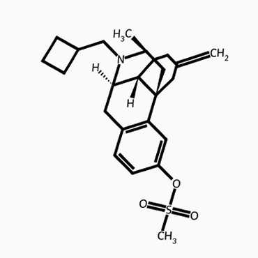 C=C1C[C@H](C)[C@H]2[C@H]3Cc4ccc(OS(C)(=O)=O)cc4[C@@]2(CCN3CC2CCC2)C1